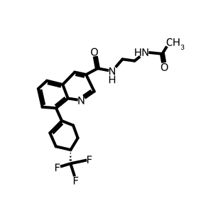 CC(=O)NCCNC(=O)c1cnc2c(C3=CC[C@@H](C(F)(F)F)CC3)cccc2c1